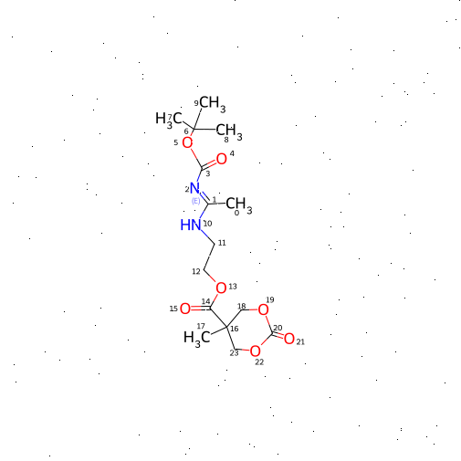 C/C(=N\C(=O)OC(C)(C)C)NCCOC(=O)C1(C)COC(=O)OC1